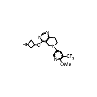 COc1ncc(N2CCc3ncnc(OC4CNC4)c3C2)cc1C(F)(F)F